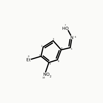 CCc1ccc(/C=N\O)cc1[N+](=O)[O-]